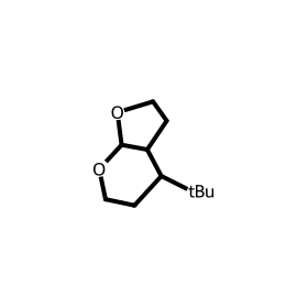 CC(C)(C)C1CCOC2OCCC21